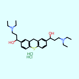 CCN(CC)CCC(O)c1ccc2c(c1)Cc1cc(C(O)CCN(CC)CC)ccc1S2.Cl.Cl